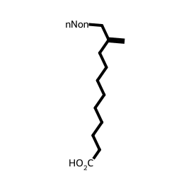 C=C(CCCCCCCCCC)CCCCCCCCC(=O)O